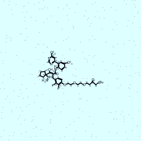 C/C(=C(/Cc1ccc(OCCOCCOCCC(=O)CC(C)(C)C)c(F)c1F)C(=O)Nc1ccc(C(F)(F)F)cc1-c1cc(C(F)(F)F)ncn1)C1(NN)CCCC1